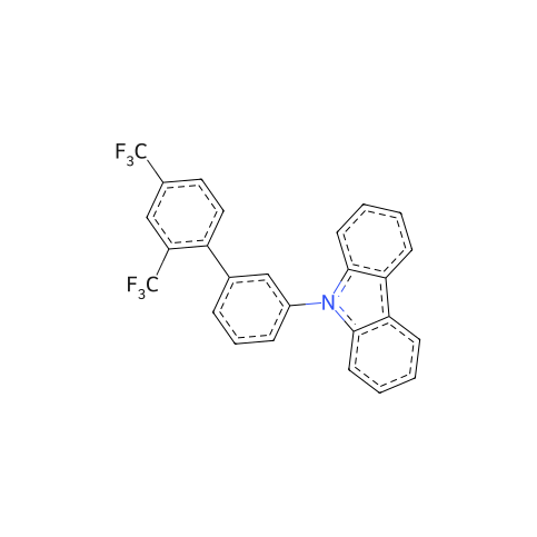 FC(F)(F)c1ccc(-c2cccc(-n3c4ccccc4c4ccccc43)c2)c(C(F)(F)F)c1